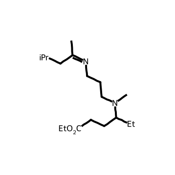 CCOC(=O)CCC(CC)N(C)CCCN=C(C)CC(C)C